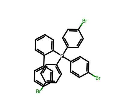 Brc1ccc([Si](c2ccc(Br)cc2)(c2ccc(Br)cc2)c2ccccc2-c2ccccc2)cc1